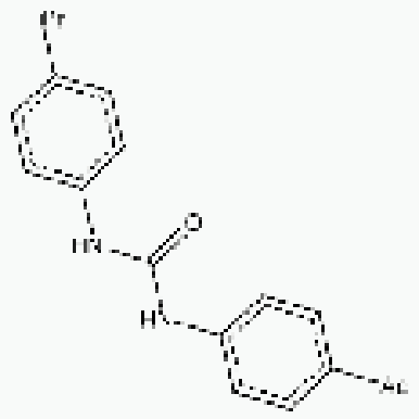 CC(=O)c1ccc(NC(=O)Nc2ccc(C(C)C)cc2)cc1